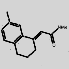 CNC(=O)/C=C1\CCCc2ccc(C)cc21